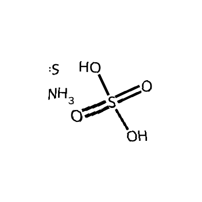 N.O=S(=O)(O)O.[S]